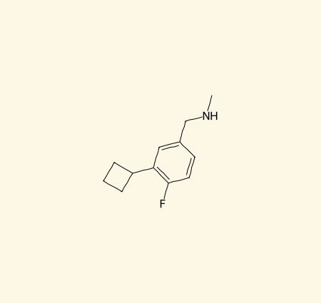 CNCc1ccc(F)c(C2CCC2)c1